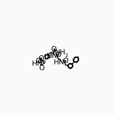 NC(=O)[C@H](Cc1ccc([C@@H]2CC(=O)NS2(=O)=O)cc1)NC(=O)CCNC(=O)Cc1cccc(-c2ccccc2)c1